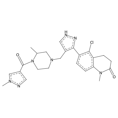 CC1CN(Cc2c[nH]nc2-c2ccc3c(c2Cl)CCC(=O)N3C)CCN1C(=O)c1cnn(C)c1